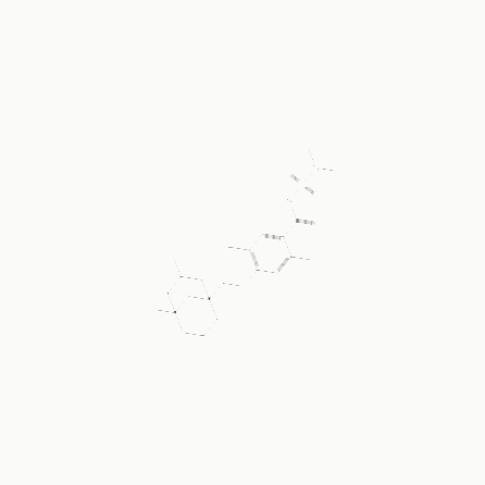 CC1CC2(Cl)CCCC(COc3cc(F)c(C(=O)NS(=O)(=O)N(C)C)cc3Cl)(C1)C2